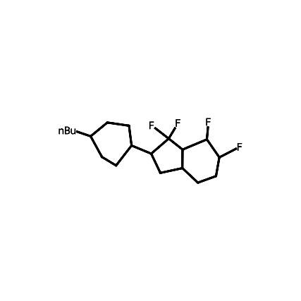 CCCCC1CCC(C2CC3CCC(F)C(F)C3C2(F)F)CC1